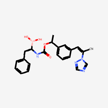 CC(OC(=O)NC(Cc1ccccc1)B(O)O)c1cccc(C=C(C#N)n2cncn2)c1